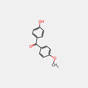 COc1ccc(C(=O)c2ccc(O)cc2)cc1